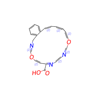 O=C(O)C1=N/C=C\N=C/O\C=C/C=C\C=C/c2ccccc2C/N=C\O/C=C\1